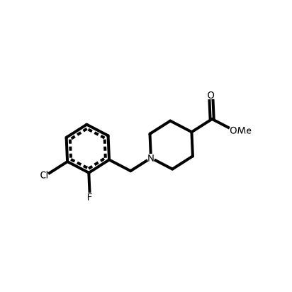 COC(=O)C1CCN(Cc2cccc(Cl)c2F)CC1